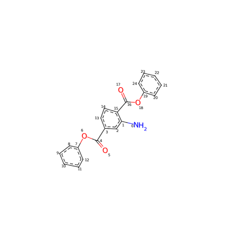 Nc1cc(C(=O)Oc2ccccc2)ccc1C(=O)Oc1ccccc1